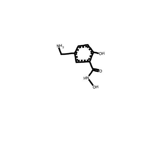 NCc1ccc(O)c(C(=O)NO)c1